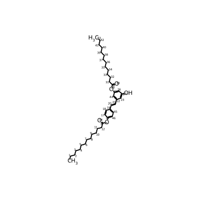 CCCCCCCCCCCCCC(=O)Oc1ccc(C=Cc2cc(O)cc(OC(=O)CCCCCCCCCCCCC)c2)cc1